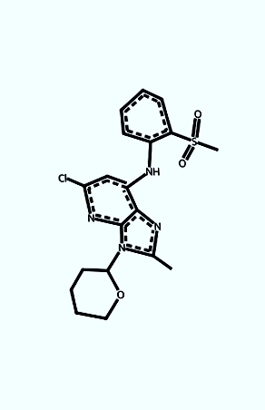 Cc1nc2c(Nc3ccccc3S(C)(=O)=O)cc(Cl)nc2n1C1CCCCO1